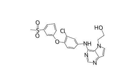 CS(=O)(=O)c1cccc(Oc2ccc(Nc3ncnc4ccn(CCO)c34)cc2Cl)c1